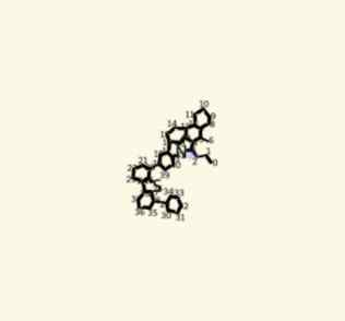 C=C/C=c1\c2c(C)c3ccccc3c3ccc4c5cc(-c6cccc7c6sc6c(-c8ccccc8)cccc67)ccc5n1c4c23